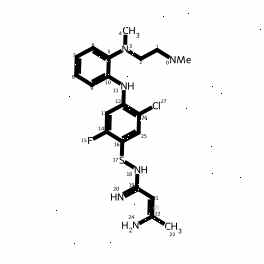 CNCCN(C)c1ccccc1Nc1cc(F)c(SNC(=N)/C=C(/C)N)cc1Cl